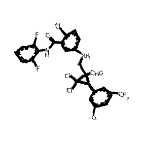 O=CC1(CNc2ccc(Cl)c(C(=O)Nc3c(F)cccc3F)c2)C(c2cc(Cl)cc(C(F)(F)F)c2)C1(Cl)Cl